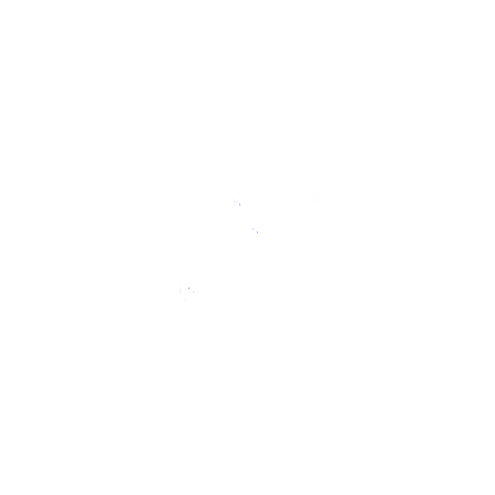 CCN(N)C(=O)C(N)=O